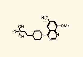 COc1cc(C)cc2c(N3CCC(CCP(=O)(O)O)CC3)ncnc12